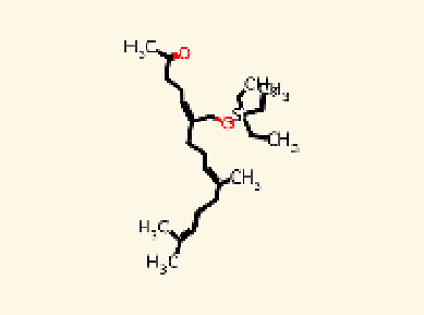 CC[Si](CC)(CC)OC/C(=C\CCC(C)=O)CC/C=C(\C)CCC=C(C)C